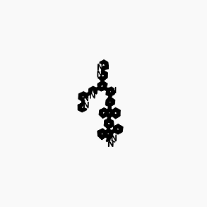 c1ccc(-c2c(-c3ccc(-c4c5ccccc5c(-c5ccc(-c6cncc(-c7cc(-c8ccc(-c9ccccn9)nc8)cc(-c8ccc(-c9cccc(-c%10ccccn%10)n9)nc8)c7)c6)cc5)c5ccccc45)cc3)c3ccccc3c3cncnc23)cc1